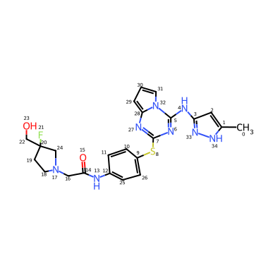 Cc1cc(Nc2nc(Sc3ccc(NC(=O)CN4CCC(F)(CO)C4)cc3)nc3cccn23)n[nH]1